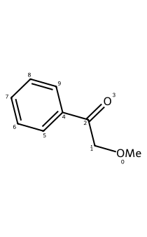 CO[CH]C(=O)c1ccccc1